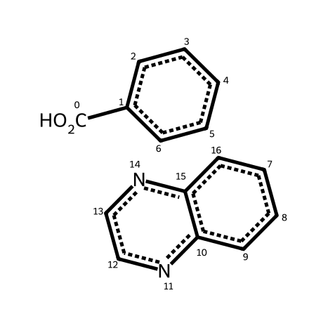 O=C(O)c1ccccc1.c1ccc2nccnc2c1